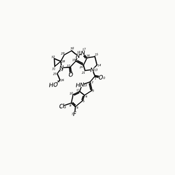 O=C(c1cc2cc(F)c(Cl)cc2[nH]1)N1CCc2nn3c(c2C1)C(=O)N(CCO)C1(CC3)CC1